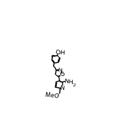 COCc1ccc(C2CC(Cc3ccc(O)cc3)=NO2)c(N)n1